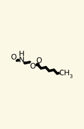 CCCCCCC(=O)OCCNC=O